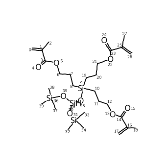 C=C(C)C(=O)OCCC[Si](CCCOC(=O)C(=C)C)(CCCOC(=O)C(=C)C)O[SiH](O[Si](C)(C)C)O[Si](C)(C)C